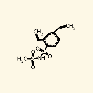 C=Cc1ccc(S(=O)(=O)NS(C)(=O)=O)c(C=C)c1